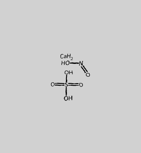 O=NO.O=S(=O)(O)O.[CaH2]